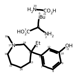 CCC(C)C(N)C(=O)O.CCC1(c2cccc(O)c2)CCCCN(C)C1.NC(=O)O